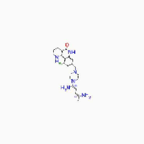 C/C(N)=C/C=C(\N)N1CCN(Cc2cc(F)c3c4c(c(=O)[nH]c3c2)CCCN4)CC1